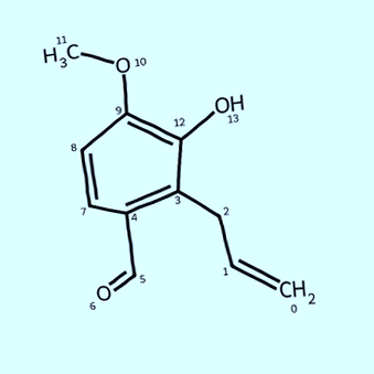 C=CCc1c(C=O)ccc(OC)c1O